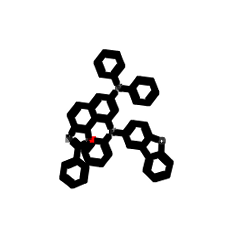 c1ccc(-c2nc3ccc4cc(N(c5ccccc5)c5ccccc5)cc(N(c5ccccc5)c5ccc6oc7ccccc7c6c5)c4c3o2)cc1